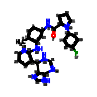 Cc1ccc(NC(=O)c2cccn2-c2ccc(F)cc2)cc1Nc1ncccc1C1NC=Nc2[nH]cnc21